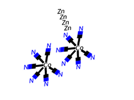 N#[C][Co]([C]#N)([C]#N)([C]#N)([C]#N)[C]#N.N#[C][Co]([C]#N)([C]#N)([C]#N)([C]#N)[C]#N.[Zn].[Zn].[Zn].[Zn]